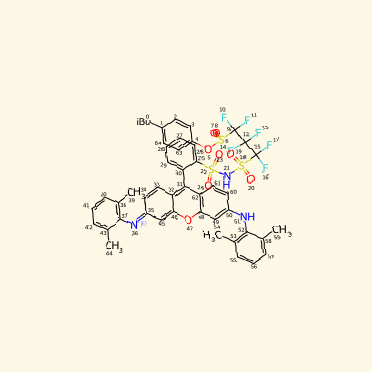 CCC(C)c1ccc(OS(=O)(=O)C(F)(F)C(F)(F)C(F)(F)S(=O)(=O)NS(=O)(=O)c2ccccc2-c2c3cc/c(=N\c4c(C)cccc4C)cc-3oc3cc(Nc4c(C)cccc4C)ccc23)cc1